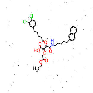 CCOC(=O)CO[C@@H](C(=O)O)[C@@H](OCCCCCc1ccc(Cl)c(Cl)c1)C(=O)NCCCCCc1ccc2ccccc2c1